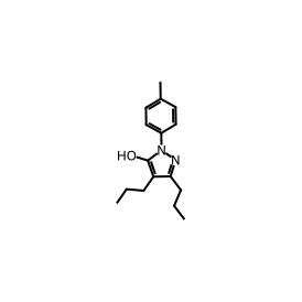 CCCc1nn(-c2ccc(C)cc2)c(O)c1CCC